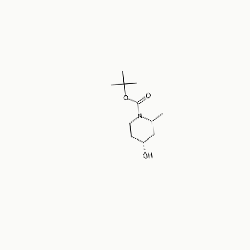 CC1C[C@H](O)CCN1C(=O)OC(C)(C)C